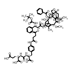 CO[C@H]1C(=O)[C@]2(C)[C@@H](OC)C[C@H]3OC[C@@]3(OC(C)=O)[C@H]2[C@@](C)(OC(=O)c2ccccc2)[C@]2(O)C[C@H](OC(=O)[C@H](OC(=O)CCC(=O)Nc3ccc(C[C@H](NC(=O)N[C@@H](CCC(=O)O)C(=O)O)C(=O)O)cc3)[C@@H](NC(=O)OC(C)(C)C)c3ccccc3)C(C)=C1C2(C)C